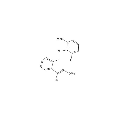 CON=C(C#N)c1ccccc1COc1c(F)cccc1OC